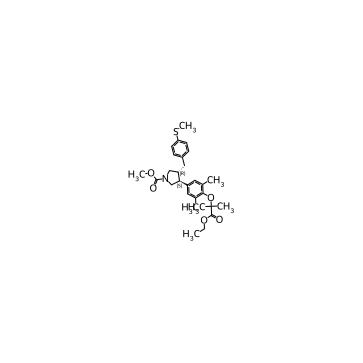 CCOC(=O)C(C)(C)Oc1c(C)cc([C@H]2CN(C(=O)OC)C[C@@H]2Cc2ccc(SC)cc2)cc1C